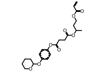 C=CC(=O)OCCC(C)OC(=O)CCC(=O)Oc1ccc(OC2CCCCO2)cc1